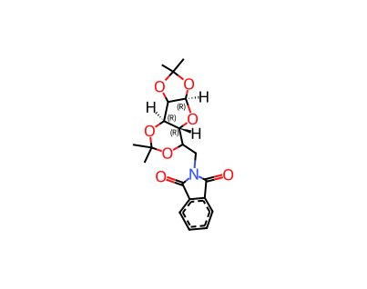 CC1(C)OC2[C@H](O[C@@H]3C(CN4C(=O)c5ccccc5C4=O)OC(C)(C)O[C@@H]23)O1